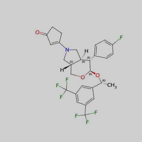 C[C@@H](O[C@H]1OC[C@@H]2CN(C3=CC(=O)CC3)C[C@H]2[C@@H]1c1ccc(F)cc1)c1cc(C(F)(F)F)cc(C(F)(F)F)c1